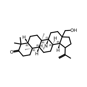 C=C(C)C1CCC2(CO)CC[C@]3(N)[C@H](CC[C@@H]4[C@@]5(C)CCC(=O)C(C)(C)[C@@H]5CC[C@]43C)[C@@H]12